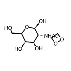 C1COO1.CC(=O)N[C@@H]1[C@@H](O)[C@@H](O)[C@@H](CO)O[C@H]1O